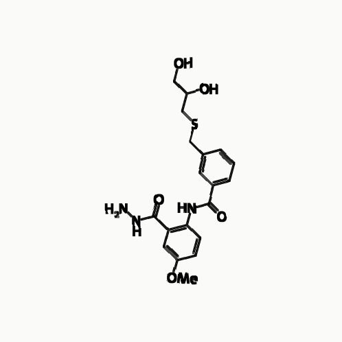 COc1ccc(NC(=O)c2cccc(CSCC(O)CO)c2)c(C(=O)NN)c1